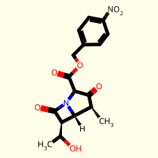 CC(O)[C@H]1C(=O)N2C(C(=O)OCc3ccc([N+](=O)[O-])cc3)C(=O)[C@@H](C)[C@H]12